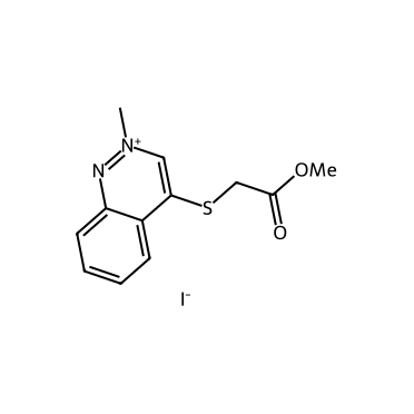 COC(=O)CSc1c[n+](C)nc2ccccc12.[I-]